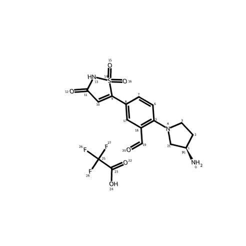 N[C@@H]1CCN(c2ccc(C3=CC(=O)NS3(=O)=O)cc2C=O)C1.O=C(O)C(F)(F)F